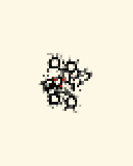 C=Cc1c(/C=C\C)c2ccc3c4ccccc4n(-c4ccc5c(ccc6ccccc65)c4)c3c2n1-c1nc(-c2ccccc2)nc(-c2ccccc2)n1